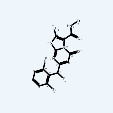 CCNC(=O)c1c(C)sc2nc(C(F)c3c(F)cccc3CC)cc(=O)n12